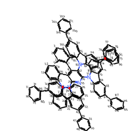 Cc1cccc(C)c1-c1c(-c2ccccc2-n2c3ccccc3c3ccccc32)c(-n2c3ccc(-c4ccccc4)cc3c3cc(-c4ccccc4)ccc32)nc(-n2c3ccc(-c4ccccc4)cc3c3cc(-c4ccccc4)ccc32)c1-n1c2ccc(-c3ccccc3)cc2c2cc(-c3ccccc3)ccc21